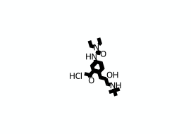 CCN(CC)C(=O)Nc1ccc(CC(O)CNC(C)(C)C)c(C(C)=O)c1.Cl